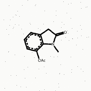 CC(=O)Oc1cccc2c1N(C)C(=O)C2